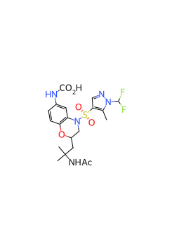 CC(=O)NC(C)(C)CC1CN(S(=O)(=O)c2cnn(C(F)F)c2C)c2cc(NC(=O)O)ccc2O1